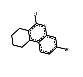 Clc1nc2cc(Br)ccc2c2c1CCCC2